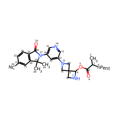 CCCCCC(C)C(=O)OC1NCC12CN(c1cncc(N3C(=O)c4ccc(C#N)cc4C3(C)C)c1)C2